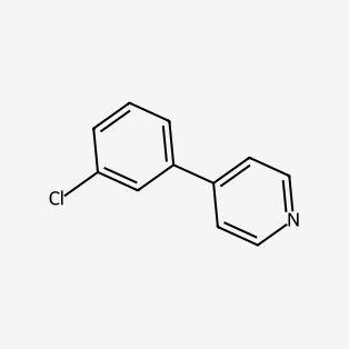 Clc1cccc(-c2ccncc2)c1